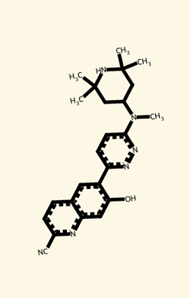 CN(c1ccc(-c2cc3ccc(C#N)nc3cc2O)nn1)C1CC(C)(C)NC(C)(C)C1